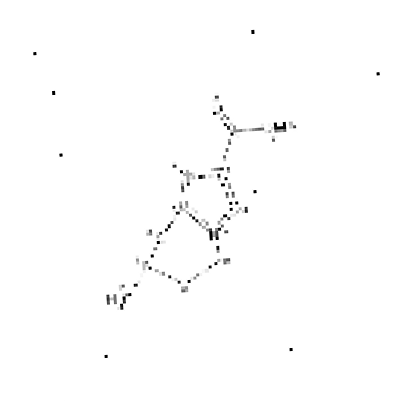 COC(=O)c1cn2c(n1)CN(C)CC2